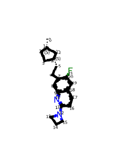 C[C@H]1CC[C@@H](CCc2cc3nc(N4CCC4)ccc3cc2F)C1